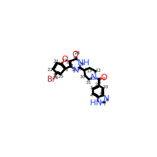 O=C(c1ccc2[nH]cnc2c1)N1CCC(c2nc3c(oc4ccc(Br)cc43)c(=O)[nH]2)CC1